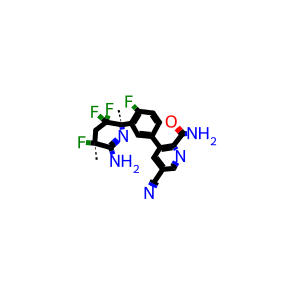 C[C@]1(F)CC(F)(F)[C@@](C)(c2cc(-c3cc(C#N)cnc3C(N)=O)ccc2F)N=C1N